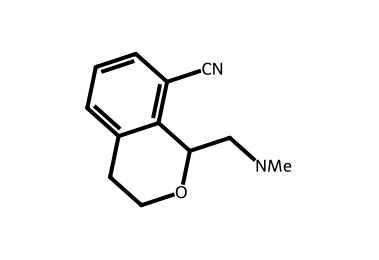 CNCC1OCCc2cccc(C#N)c21